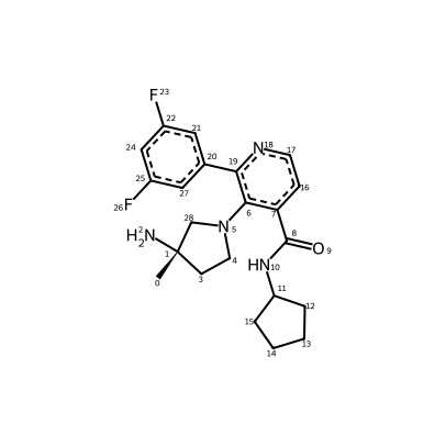 C[C@]1(N)CCN(c2c(C(=O)NC3CCCC3)ccnc2-c2cc(F)cc(F)c2)C1